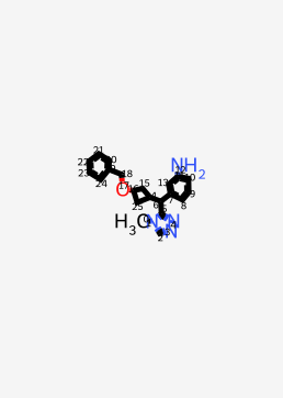 Cn1cnnc1C(c1cccc(N)c1)C1CC(OCc2ccccc2)C1